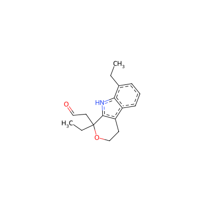 CCc1cccc2c3c([nH]c12)C(CC)(CC=O)OCC3